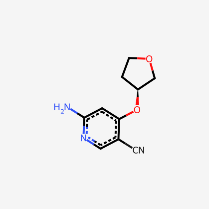 N#Cc1cnc(N)cc1O[C@H]1CCOC1